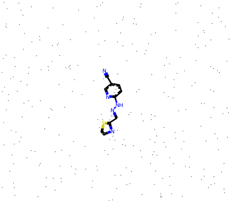 N#Cc1ccc(N/N=C/c2nccs2)nc1